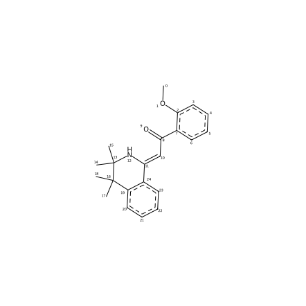 COc1ccccc1C(=O)C=C1NC(C)(C)C(C)(C)c2ccccc21